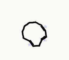 [CH]1/C=C\C=C\C/C=C/CCCC1